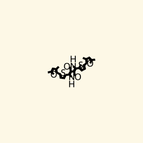 Cc1cc(C)c(-c2ccc(C3=C4C(=O)NC(c5ccc(-c6oc(C)cc6C)s5)=C4C(=O)N3)s2)o1